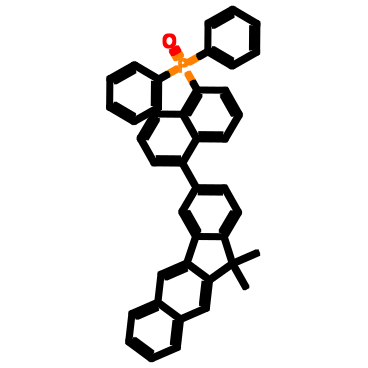 CC1(C)c2ccc(-c3cccc4c(P(=O)(c5ccccc5)c5ccccc5)cccc34)cc2-c2cc3ccccc3cc21